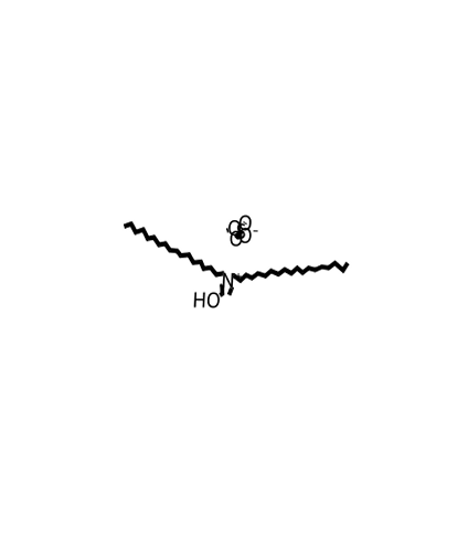 CCCCCCCCCCCCCCCCCCC[N+](CC)(CCO)CCCCCCCCCCCCCCCCCC.COS(=O)(=O)[O-]